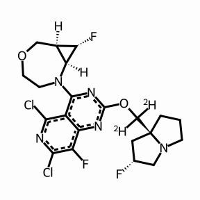 [2H]C([2H])(Oc1nc(N2CCOC[C@H]3[C@H](F)[C@H]32)c2c(Cl)nc(Cl)c(F)c2n1)[C@@]12CCCN1C[C@H](F)C2